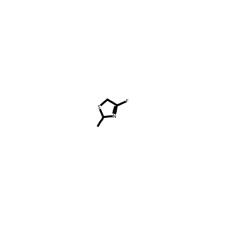 CC1N=C(F)CS1